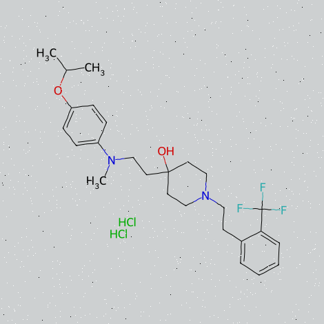 CC(C)Oc1ccc(N(C)CCC2(O)CCN(CCc3ccccc3C(F)(F)F)CC2)cc1.Cl.Cl